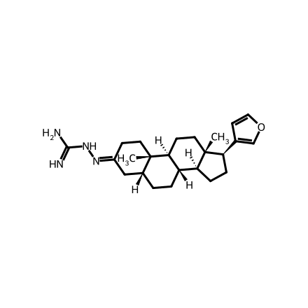 C[C@]12CC/C(=N\NC(=N)N)C[C@H]1CC[C@@H]1[C@@H]2CC[C@]2(C)[C@@H](c3ccoc3)CC[C@@H]12